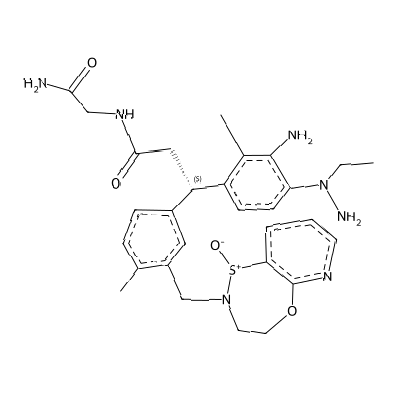 CCN(N)c1ccc([C@@H](CC(=O)NCC(N)=O)c2ccc(C)c(CN3CCOc4ncccc4[S+]3[O-])c2)c(C)c1N